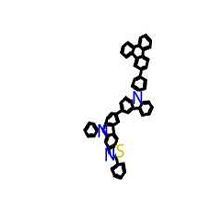 c1ccc(-c2nc3cc4c(cc3s2)c2cc(-c3ccc5c(c3)c3ccccc3n5-c3ccc(-c5ccc6c7ccccc7c7ccccc7c6c5)cc3)ccc2n4-c2ccccc2)cc1